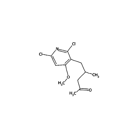 COc1cc(Cl)nc(Cl)c1CC(C)CC(C)=O